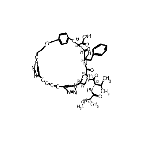 CN[C@@H](C)C(=O)N[C@H](C(=O)N1C[C@@H]2C[C@H]1C(=O)N[C@@H](Cc1ccccc1)C(=O)N[C@H](C(=O)O)Cc1ccc(cc1)OCCCn1cc(nn1)CCCCc1cn2nn1)C(C)C